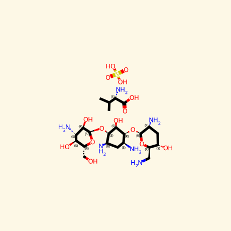 CC(C)[C@H](N)C(=O)O.NC[C@H]1O[C@H](O[C@H]2[C@H](O)[C@@H](O[C@H]3O[C@H](CO)[C@@H](O)[C@H](N)[C@H]3O)[C@H](N)C[C@@H]2N)[C@H](N)C[C@@H]1O.O=S(=O)(O)O